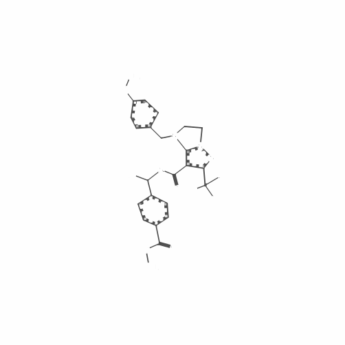 COC(=O)c1ccc(C(C)NC(=O)c2c(C(F)(F)F)nn3c2N(Cc2ccc(OC)cc2)CC3)cc1